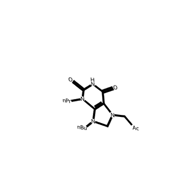 CCCCN1CN(CC(C)=O)c2c1n(CCC)c(=O)[nH]c2=O